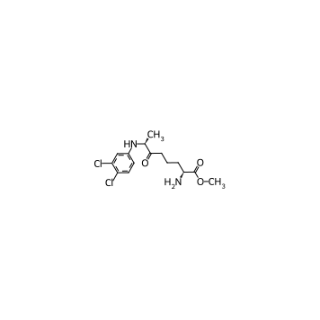 COC(=O)[C@@H](N)CCCC(=O)[C@H](C)Nc1ccc(Cl)c(Cl)c1